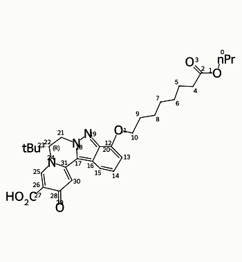 CCCOC(=O)CCCCCCCOc1cccc2c3n(nc12)C[C@@H](C(C)(C)C)n1cc(C(=O)O)c(=O)cc1-3